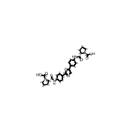 O=C(Nc1ccc(-c2cnc(-c3ccc(NC(=O)[C@@H]4CCCN4C(=O)O)cc3)o2)cc1)[C@@H]1CCCN1C(=O)O